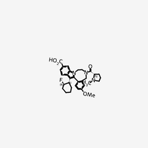 COc1ccc2c(c1)CN(C(=O)[C@@H]1CCCN1C)CCn1c-2c([C@@H]2CCCC[C@H]2F)c2ccc(C(=O)O)cc21